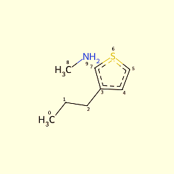 CCCc1ccsc1.CN